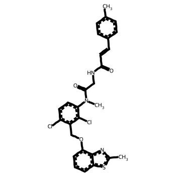 Cc1ccc(C=CC(=O)NCC(=O)N(C)c2ccc(Cl)c(COc3cccc4sc(C)nc34)c2Cl)cc1